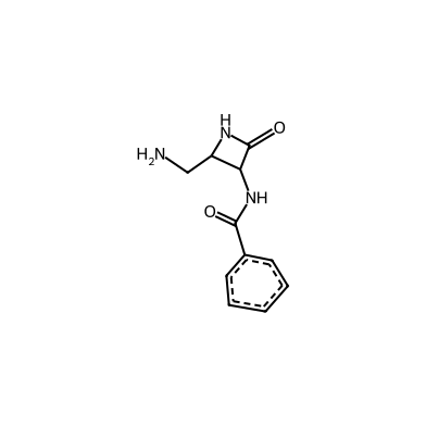 NCC1NC(=O)C1NC(=O)c1ccccc1